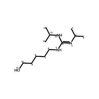 CC(C)N=C(NCCCCCO)NC(C)C